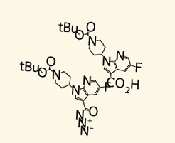 CC(C)(C)OC(=O)N1CCC(n2cc(C(=O)N=[N+]=[N-])c3cc(F)cnc32)CC1.CC(C)(C)OC(=O)N1CCC(n2cc(C(=O)O)c3cc(F)cnc32)CC1